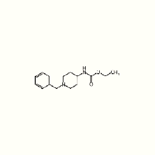 CCOC(=O)NC1CCN(Cc2ccccc2)CC1